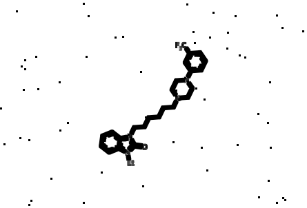 CCn1c(=O)n(CCCCCCN2CCN(c3cccc(C(F)(F)F)c3)CC2)c2ccccc21